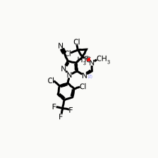 CN(C)/C=N\c1c(C2(F)CC2(Cl)Cl)c(C#N)nn1-c1c(Cl)cc(C(F)(F)F)cc1Cl